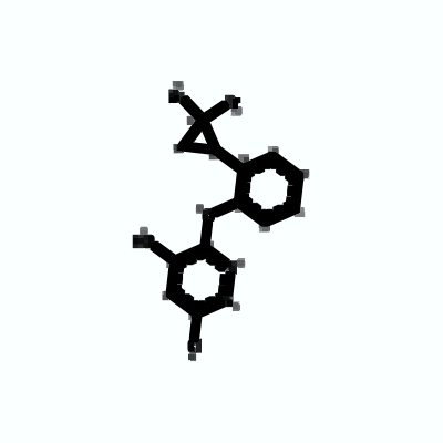 Oc1cc(Cl)nnc1Oc1ccccc1C1CC1(Br)Br